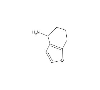 NC1CCCc2occc21